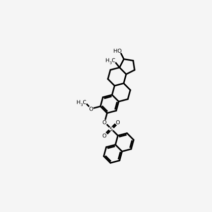 COc1cc2c(cc1OS(=O)(=O)c1cccc3ccccc13)CCC1C2CCC2(C)C(O)CCC12